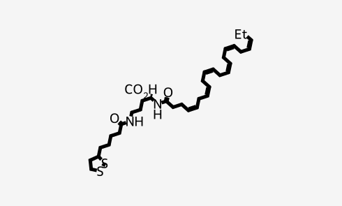 CC/C=C\C/C=C\C/C=C\C/C=C\C/C=C\C/C=C\CCC(=O)N[C@@H](CCCNC(=O)CCCCC1CCSS1)C(=O)O